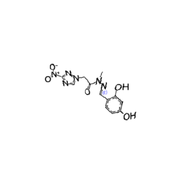 CN(/N=C/c1ccc(O)cc1O)C(=O)Cn1cnc([N+](=O)[O-])n1